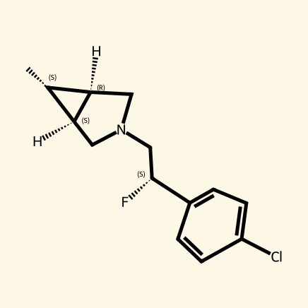 C[C@@H]1[C@H]2CN(C[C@@H](F)c3ccc(Cl)cc3)C[C@@H]12